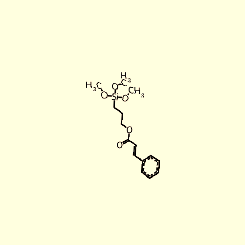 CO[Si](CCCOC(=O)C=Cc1ccccc1)(OC)OC